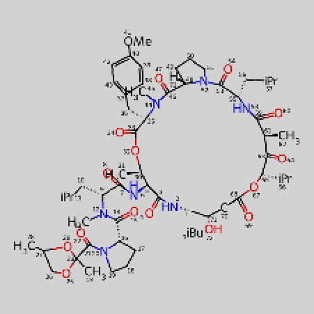 CC[C@H](C)[C@@H]1NC(=O)[C@@H](NC(=O)[C@@H](CC(C)C)N(C)C(=O)[C@@H]2CCCN2C(=O)C2(C)OCC(C)O2)[C@@H](C)OC(=O)[C@H](Cc2ccc(OC)cc2)N(C)C(=O)[C@@H]2CCCN2C(=O)[C@H](CC(C)C)NC(=O)[C@@H](C)C(=O)[C@H](C(C)C)OC(=O)C[C@@H]1O